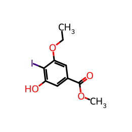 CCOc1cc(C(=O)OC)cc(O)c1I